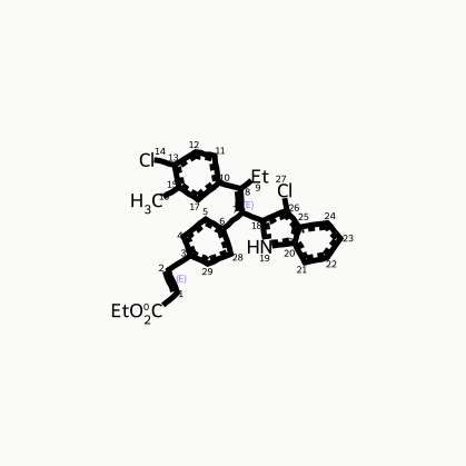 CCOC(=O)/C=C/c1ccc(/C(=C(/CC)c2ccc(Cl)c(C)c2)c2[nH]c3ccccc3c2Cl)cc1